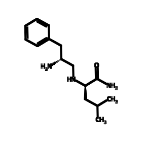 CC(C)C[C@@H](NC[C@H](N)Cc1ccccc1)C(N)=O